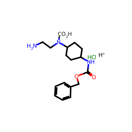 Cl.NCCN(C(=O)O)C1CCC(NC(=O)OCc2ccccc2)CC1.[H+]